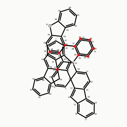 C1=CC2(C3=Cc4ccccc4C3=C1)C1=Cc3ccccc3C1=CC=C2N(c1ccccc1-c1cccc2oc3ccccc3c12)c1c(Cc2ccccc2)ccc2c1Cc1ccccc1-2